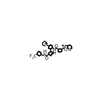 CN(Cc1cccnc1)C(=O)c1cccc(C(=O)Nc2ccc(N3CCCCC3)cc2-c2cc(C(=O)NCc3cccc(C(F)(F)F)c3)ccn2)c1